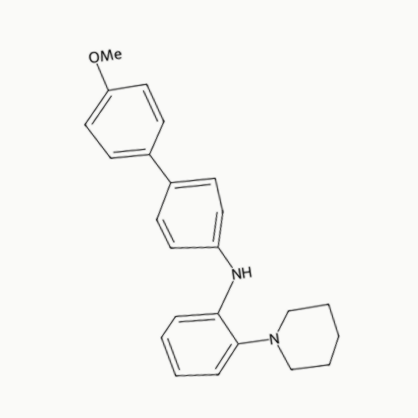 COc1ccc(-c2ccc(Nc3ccccc3N3CCCCC3)cc2)cc1